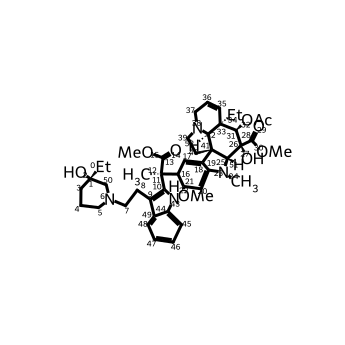 CC[C@]1(O)CCCN(CCc2c([C@@](C)(C(=O)OC)C3C=C4C(=CC3OC)N(C)[C@H]3[C@@](O)(C(=O)OC)[C@H](OC(C)=O)[C@]5(CC)C=CCN6CC[C@]43[C@@H]65)[nH]c3ccccc23)C1